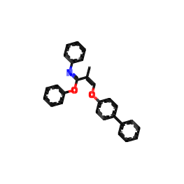 CC(=COc1ccc(-c2ccccc2)cc1)/C(=N\c1ccccc1)Oc1ccccc1